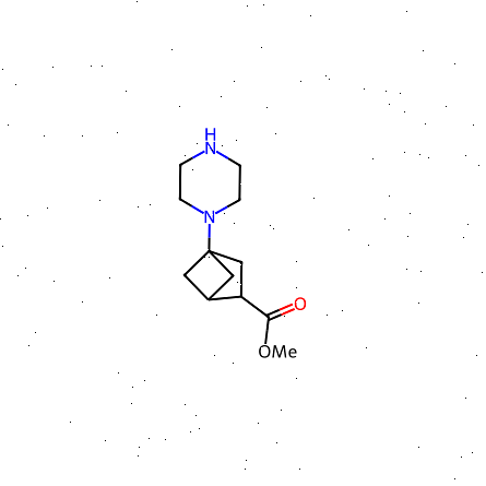 COC(=O)C1CC2(N3CCNCC3)CC1C2